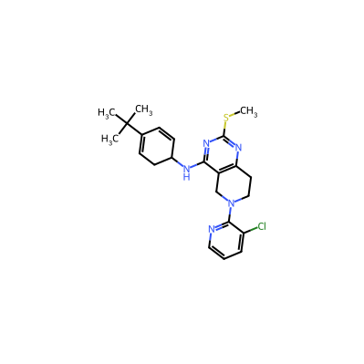 CSc1nc2c(c(NC3C=CC(C(C)(C)C)=CC3)n1)CN(c1ncccc1Cl)CC2